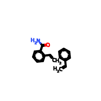 C=Cc1ccccc1.C=Cc1ccccc1C(N)=O